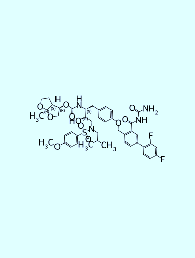 COc1ccc(S(=O)(=O)N(CC(C)C)C[C@@H](O)[C@H](Cc2ccc(OCc3ccc(-c4ccc(F)cc4F)cc3C(=O)NC(N)=O)cc2)NC(=O)O[C@H]2CO[C@@]3(C)OCC[C@@H]23)cc1